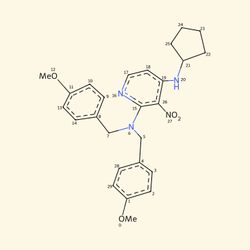 COc1ccc(CN(Cc2ccc(OC)cc2)c2nccc(NC3CCCC3)c2[N+](=O)[O-])cc1